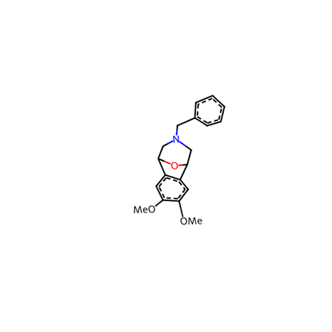 COc1cc2c(cc1OC)C1CN(Cc3ccccc3)CC2O1